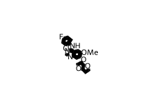 COc1cc2c(Nc3ccc(F)cc3Cl)ncnc2cc1O[C@@H]1COC2CCOC21